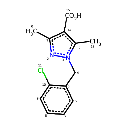 Cc1nn(Cc2ccccc2Cl)c(C)c1C(=O)O